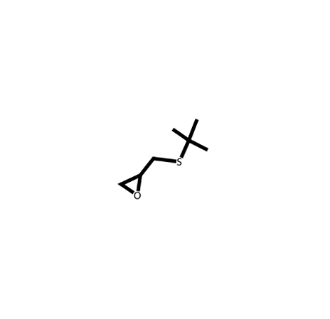 CC(C)(C)SCC1CO1